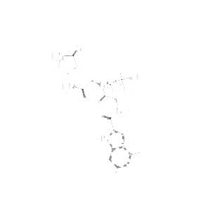 COc1cccc2[nH]c(C(=O)N[C@@H](CC(C)(C)F)C(=O)N[C@@H](C[C@@H]3CCNC3=O)C(N)=O)cc12